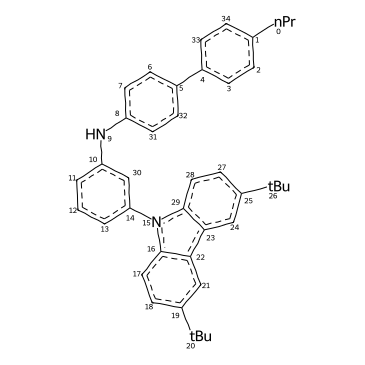 CCCc1ccc(-c2ccc(Nc3cccc(-n4c5ccc(C(C)(C)C)cc5c5cc(C(C)(C)C)ccc54)c3)cc2)cc1